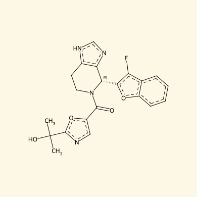 CC(C)(O)c1ncc(C(=O)N2CCc3[nH]cnc3[C@@H]2c2oc3ccccc3c2F)o1